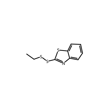 CCSSc1nc2ccccc2s1